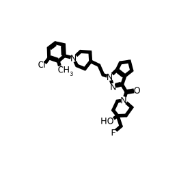 Cc1c(Cl)cccc1N1CCC(CCn2nc(C(=O)N3CCC(O)(CF)CC3)c3c2CCC3)CC1